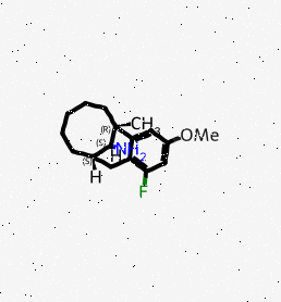 COc1cc(F)c2c(c1)[C@@]1(C)CCCCC[C@@H](C2)[C@@H]1N